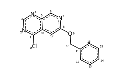 Clc1ncnc2cnc(OCc3ccccc3)cc12